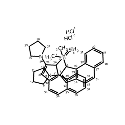 Cl.Cl.[CH3][Ti]([CH3])(=[SiH2])([CH]1C(N2CCCC2)=Cc2ccc3ccccc3c21)[CH]1C(N2CCCC2)=Cc2ccc3ccccc3c21